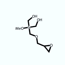 CO[Si](CO)(CO)COCC1CO1